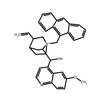 C=CC1C[N+]2(Cc3c4ccccc4cc4ccccc34)CCC1CC2C(O)c1ccnc2ccc(OC)cc12